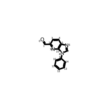 O=Cc1ccc2ncn(-c3ccccc3)c2n1